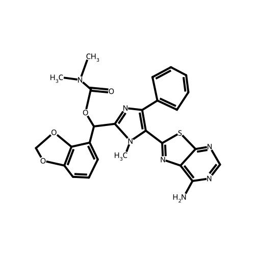 CN(C)C(=O)OC(c1cccc2c1OCO2)c1nc(-c2ccccc2)c(-c2nc3c(N)ncnc3s2)n1C